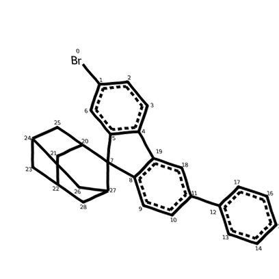 Brc1ccc2c(c1)C1(c3ccc(-c4ccccc4)cc3-2)C2CC3CC(C2)CC1C3